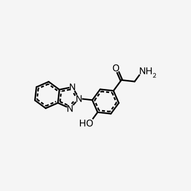 NCC(=O)c1ccc(O)c(-n2nc3ccccc3n2)c1